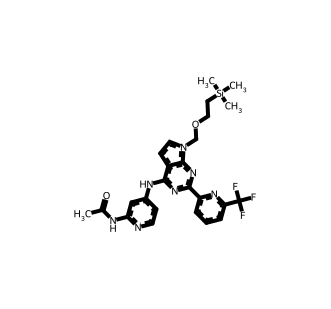 CC(=O)Nc1cc(Nc2nc(-c3cccc(C(F)(F)F)n3)nc3c2ccn3COCC[Si](C)(C)C)ccn1